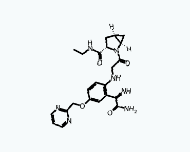 CCNC(=O)[C@@H]1C[C@H]2C[C@H]2N1C(=O)CNc1ccc(OCc2ncccn2)cc1C(=N)C(N)=O